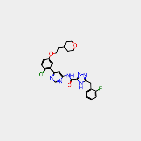 O=C(Nc1cc(-c2cc(OCCC3CCOCC3)ccc2Cl)ncn1)c1nnc(Cc2ccccc2F)[nH]1